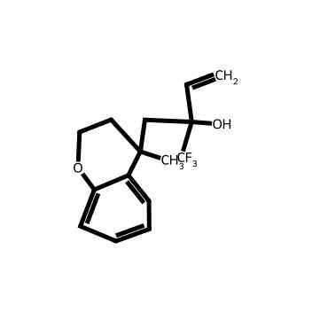 C=CC(O)(CC1(C)CCOc2ccccc21)C(F)(F)F